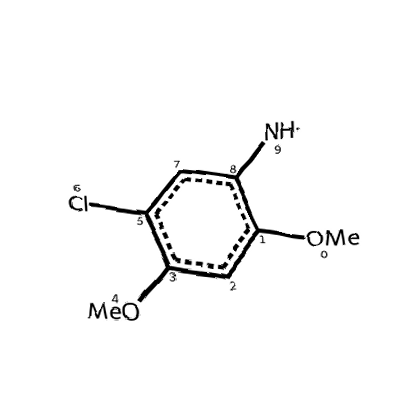 COc1cc(OC)c(Cl)cc1[NH]